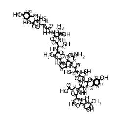 CC(=O)N[C@@H](CS)C(=O)N[C@@H](CS)C(=O)N[C@@H](CCC(=O)O)C(=O)N[C@@H](Cc1ccc(O)cc1)C(=O)N[C@@H](CS)C(=O)N[C@@H](CS)C(=O)N[C@@H](CC(N)=O)C(=O)N1CCC[C@H]1C(=O)N[C@@H](C)C(=O)N[C@@H](CS)C(=O)N[C@H](C(=O)NCC(=O)N[C@@H](CS)C(=O)N[C@@H](Cc1ccc(O)cc1)C(=O)O)[C@@H](C)O